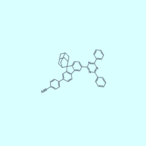 N#Cc1ccc(-c2ccc3c(c2)C2(c4ccc(-c5nc(-c6ccccc6)nc(-c6ccccc6)n5)cc4-3)C3CC4CC(C3)CC2C4)cc1